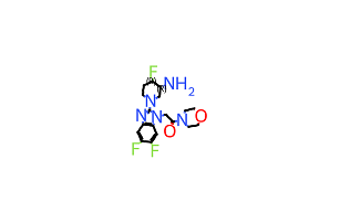 N[C@@H]1CN(c2nc3cc(F)c(F)cc3n2CC(=O)N2CCOCC2)CC[C@H]1F